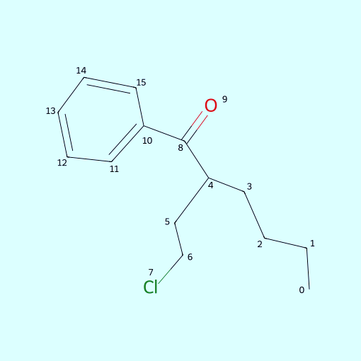 CCCCC(CCCl)C(=O)c1ccccc1